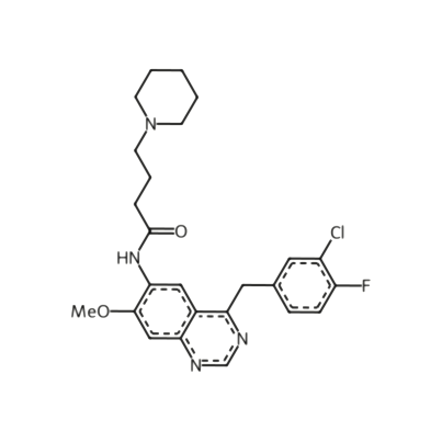 COc1cc2ncnc(Cc3ccc(F)c(Cl)c3)c2cc1NC(=O)CCCN1CCCCC1